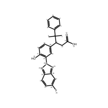 CC(C)(c1ccccc1)C(CC(=O)O)c1ccc(O)c(-n2nc3ccc(F)cc3n2)c1